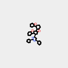 c1ccc(-c2cc(-c3cc4oc5ccc6oc7ccccc7c6c5c4c4oc5ccccc5c34)nc(-c3ccccc3)n2)cc1